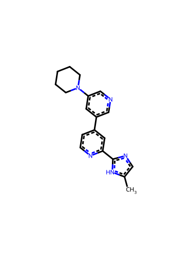 Cc1cnc(-c2cc(-c3cncc(N4CCCCC4)c3)ccn2)[nH]1